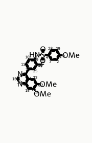 COc1ccc(S(=O)(=O)Nc2ccc(-c3ncnc4cc(OC)c(OC)cc34)cc2F)cc1